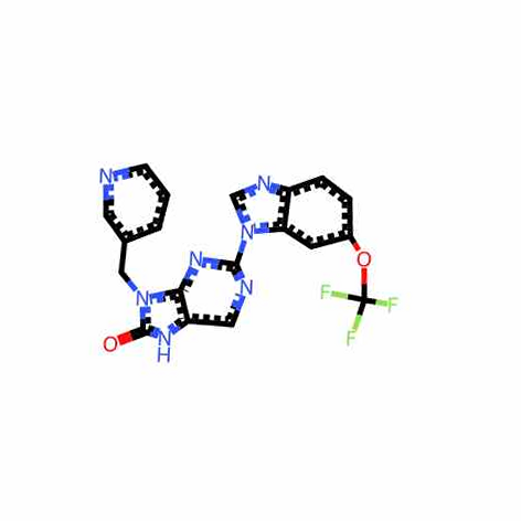 O=c1[nH]c2cnc(-n3cnc4ccc(OC(F)(F)F)cc43)nc2n1Cc1cccnc1